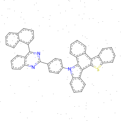 c1ccc2c(-c3nc(-c4ccc(-n5c6ccccc6c6c7sc8ccccc8c7c7ccccc7c65)cc4)nc4ccccc34)cccc2c1